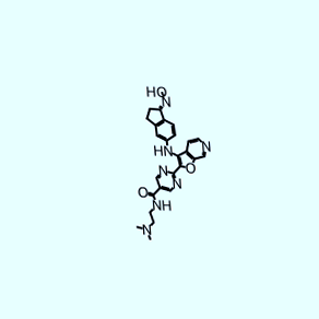 CN(C)CCNC(=O)c1cnc(-c2oc3cnccc3c2Nc2ccc3c(c2)CC/C3=N\O)nc1